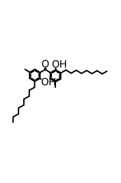 CCCCCCCCCc1cc(C)cc(C(=O)c2cc(C)cc(CCCCCCCCC)c2O)c1O